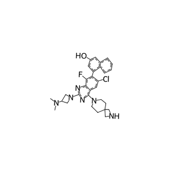 CN(C)C1CN(c2nc(N3CCC4(CC3)CNC4)c3cc(Cl)c(-c4cc(O)cc5ccccc45)c(F)c3n2)C1